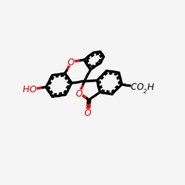 O=C(O)c1ccc2c(c1)C(=O)OC21c2ccccc2Oc2cc(O)ccc21